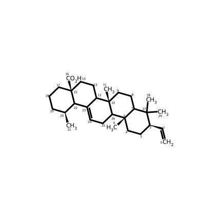 C=C[C@H]1CC[C@@]2(C)C(CC[C@@]3(C)C4CC[C@@]5(C(=O)O)CCC[C@H](C)C5C4=CCC32)C1(C)C